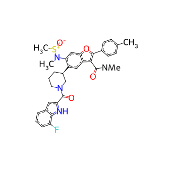 CNC(=O)c1c(-c2ccc(C)cc2)oc2cc(N(C)[S+](C)[O-])c([C@@H]3CCCN(C(=O)c4cc5cccc(F)c5[nH]4)C3)cc12